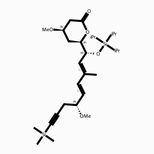 CO[C@H]1CC(=O)O[C@@H]([C@@H](/C=C(C)/C=C/[C@@H](CC#C[Si](C)(C)C)OC)O[Si](C(C)C)(C(C)C)C(C)C)C1